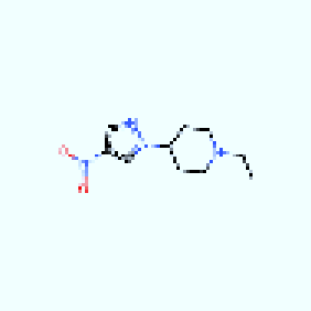 CCN1CCC(n2cc([N+](=O)[O-])cn2)CC1